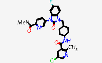 CNC(=O)c1ccc(-n2c(=O)n(CC3CCC(NC(=O)c4cc(Cl)cnc4C)CC3)c3ccc(F)cc32)cn1